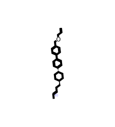 C=CCOCc1ccc(-c2ccc([C@H]3CC[C@H](CC/C=C/C)CC3)cc2)cc1